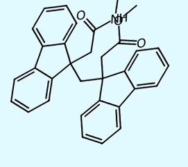 CNC(=O)CC1(CC2(CC(=O)OC)c3ccccc3-c3ccccc32)c2ccccc2-c2ccccc21